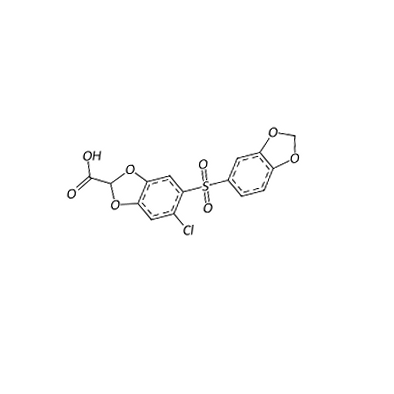 O=C(O)C1Oc2cc(Cl)c(S(=O)(=O)c3ccc4c(c3)OCO4)cc2O1